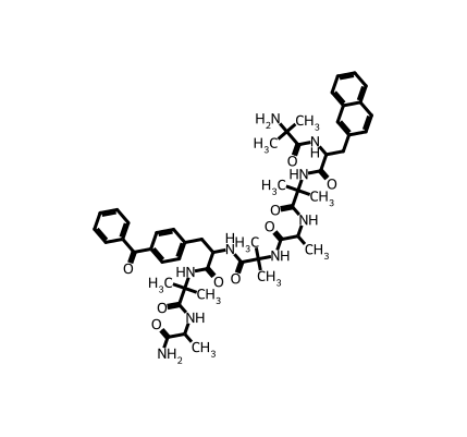 CC(NC(=O)C(C)(C)NC(=O)C(Cc1ccc(C(=O)c2ccccc2)cc1)NC(=O)C(C)(C)NC(=O)C(C)NC(=O)C(C)(C)NC(=O)C(Cc1ccc2ccccc2c1)NC(=O)C(C)(C)N)C(N)=O